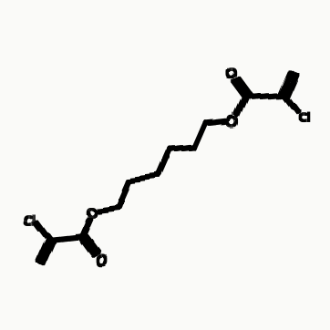 C=C(Cl)C(=O)OCCCCCCOC(=O)C(=C)Cl